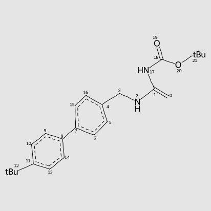 C=C(NCc1ccc(-c2ccc(C(C)(C)C)cc2)cc1)NC(=O)OC(C)(C)C